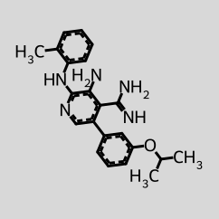 Cc1ccccc1Nc1ncc(-c2cccc(OC(C)C)c2)c(C(=N)N)c1N